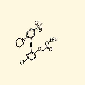 CC(C)(C)OC(=O)COc1ccc(Cl)cc1C#Cc1cc(S(C)(=O)=O)ccc1N1CCCCC1